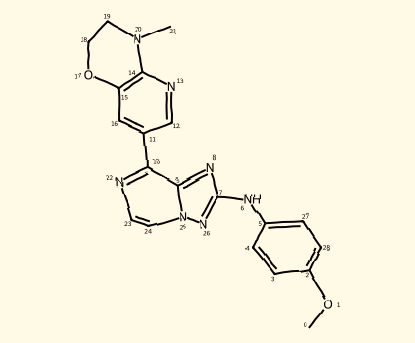 COc1ccc(Nc2nc3c(-c4cnc5c(c4)OCCN5C)nccn3n2)cc1